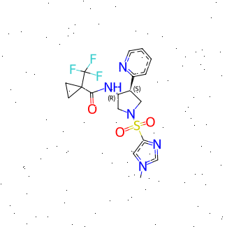 Cn1cnc(S(=O)(=O)N2C[C@H](NC(=O)C3(C(F)(F)F)CC3)[C@@H](c3ccccn3)C2)c1